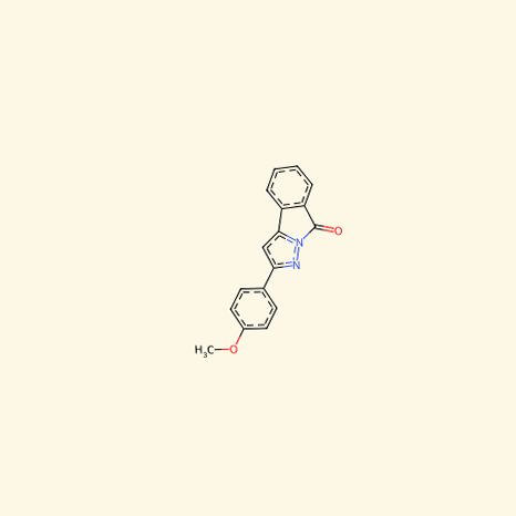 COc1ccc(-c2cc3n(n2)C(=O)c2ccccc2-3)cc1